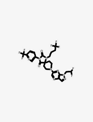 O=C1N(c2ccc(C(F)(F)F)nc2)C(=O)C2(CCN(c3cnc4cnn(CC(F)F)c4n3)CC2)N1CCCC(F)(F)F